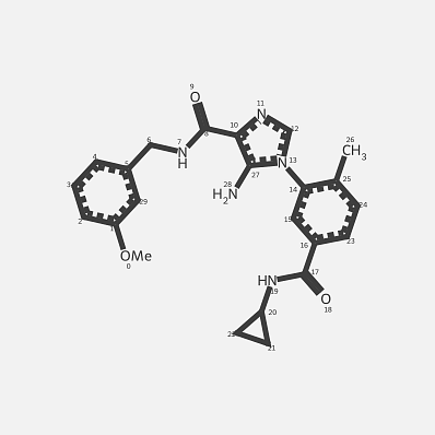 COc1cccc(CNC(=O)c2ncn(-c3cc(C(=O)NC4CC4)ccc3C)c2N)c1